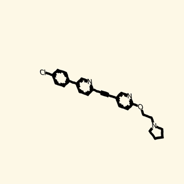 Clc1ccc(-c2ccc(C#Cc3ccc(OCCN4CCCC4)nc3)nc2)cc1